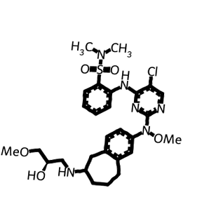 COC[C@H](O)CNC1CCCc2cc(N(OC)c3ncc(Cl)c(Nc4ccccc4S(=O)(=O)N(C)C)n3)ccc2C1